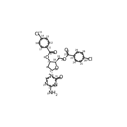 Nc1ncn([C@@H]2C[C@@H](OC(=O)c3ccc(Cl)cc3)[C@@H](COC(=O)c3ccc(Cl)cc3)O2)c(=O)n1